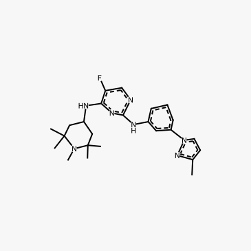 Cc1ccn(-c2cccc(Nc3ncc(F)c(NC4CC(C)(C)N(C)C(C)(C)C4)n3)c2)n1